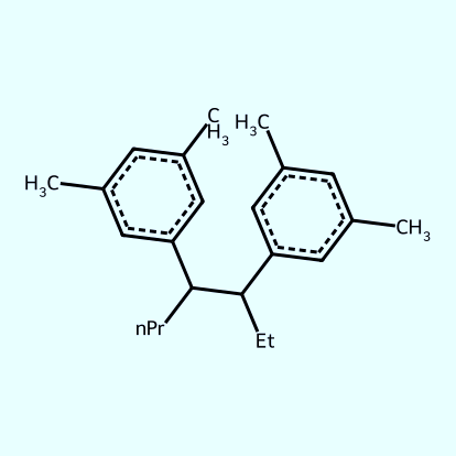 CCCC(c1cc(C)cc(C)c1)C(CC)c1cc(C)cc(C)c1